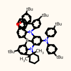 CC(C)(C)c1ccc(N(c2ccc(C(C)(C)C)cc2)c2cc3c4c(c2)N2c5c(cc(C(C)(C)C)cc5C5(C)CCCCC25C)B4c2ccc4oc5cc(C(C)(C)C)ccc5c4c2N3c2ccc(C(C)(C)C)cc2-c2ccccc2)cc1